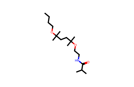 CCCCOC(C)(C)CCC(C)(C)OCCNC(=O)C(C)C